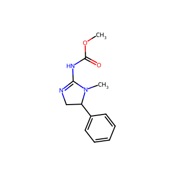 COC(=O)NC1=NCC(c2ccccc2)N1C